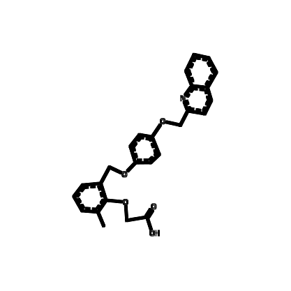 Cc1cccc(COc2ccc(OCc3ccc4ccccc4n3)cc2)c1OCC(=O)O